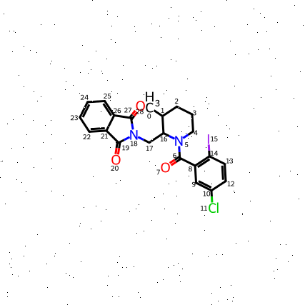 CC1CCCN(C(=O)c2cc(Cl)ccc2I)C1CN1C(=O)c2ccccc2C1=O